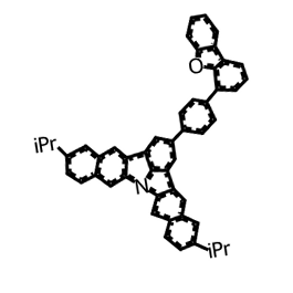 CC(C)c1ccc2cc3c(cc2c1)c1cc(-c2ccc(-c4cccc5c4oc4ccccc45)cc2)cc2c4cc5cc(C(C)C)ccc5cc4n3c12